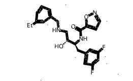 CCc1cccc(CNC[C@@H](O)[C@H](Cc2cc(F)cc(F)c2)NC(=O)c2ccno2)c1